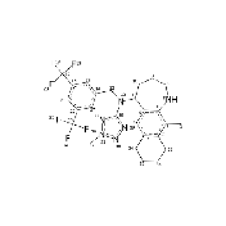 Cc1c2c(cc3c1NCCCC3N(Cc1cc(C(F)(F)F)cc(C(F)(F)F)c1)c1nnn(C)n1)CCCC2